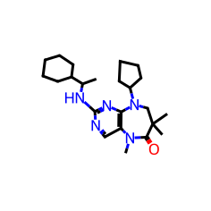 CC(Nc1ncc2c(n1)N(C1CCCC1)CC(C)(C)C(=O)N2C)C1CCCCC1